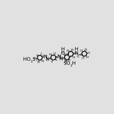 O=S(=O)(O)c1ccc(N=Nc2ccc(N=Nc3c(S(=O)(=O)O)cc4cc(NCc5ccccc5)ccc4c3O)cc2)cc1